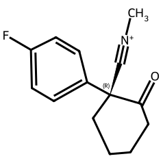 C[N+]#C[C@]1(c2ccc(F)cc2)CCCCC1=O